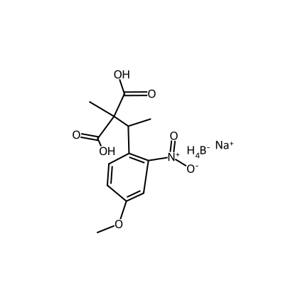 COc1ccc(C(C)C(C)(C(=O)O)C(=O)O)c([N+](=O)[O-])c1.[BH4-].[Na+]